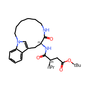 CCC[C@H](CC(=O)OC(C)(C)C)C(=O)N[C@H]1Cc2cn(c3ccccc23)CCCCCCNC1=O